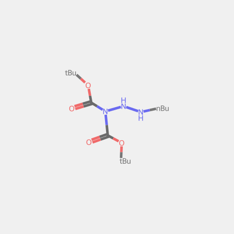 CCCCNNN(C(=O)OC(C)(C)C)C(=O)OC(C)(C)C